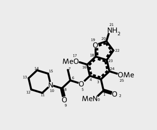 CNC(=O)c1c(OC(C)C(=O)N2CCCCC2)c(OC)c2oc(N)cc2c1OC